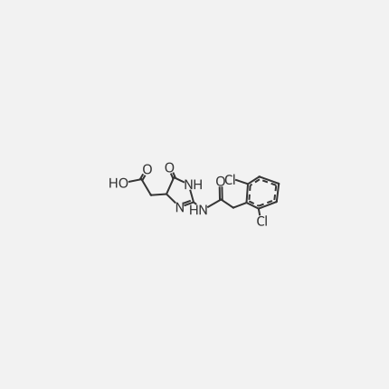 O=C(O)CC1N=C(NC(=O)Cc2c(Cl)cccc2Cl)NC1=O